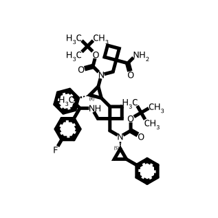 CC(NCC1(CN(C(=O)OC(C)(C)C)[C@H]2CC2c2ccccc2)CCC1C1C(N(CC2(C(N)=O)CCC2)C(=O)OC(C)(C)C)[C@H]1c1ccccc1)c1ccc(F)cc1